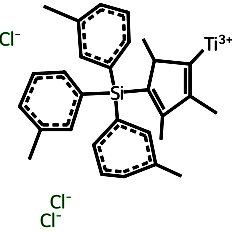 CC1=[C]([Ti+3])C(C)C([Si](c2cccc(C)c2)(c2cccc(C)c2)c2cccc(C)c2)=C1C.[Cl-].[Cl-].[Cl-]